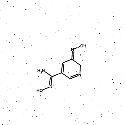 NC(=NO)C1=CC(=NO)CN=C1